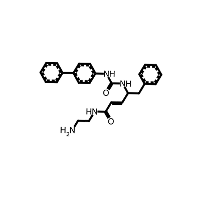 NCCNC(=O)/C=C/C(Cc1ccccc1)NC(=O)Nc1ccc(-c2ccccc2)cc1